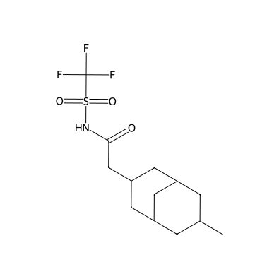 CC1CC2CC(CC(=O)NS(=O)(=O)C(F)(F)F)CC(C1)C2